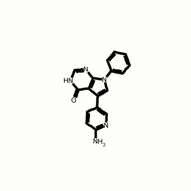 Nc1ccc(-c2cn(-c3ccccc3)c3nc[nH]c(=O)c23)cn1